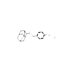 COc1ccc(CNC2C3CC4CC(C3)CC2C4)cc1